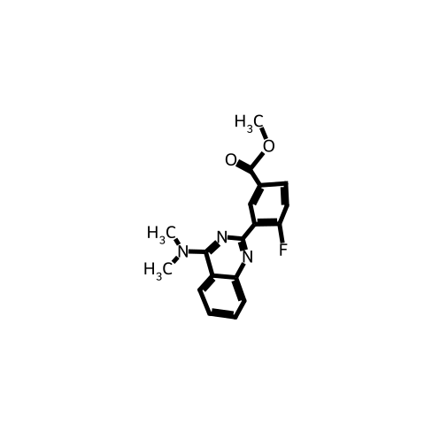 COC(=O)c1ccc(F)c(-c2nc(N(C)C)c3ccccc3n2)c1